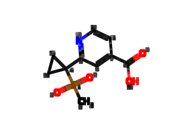 CS(=O)(=O)C1(c2cc(C(=O)O)ccn2)CC1